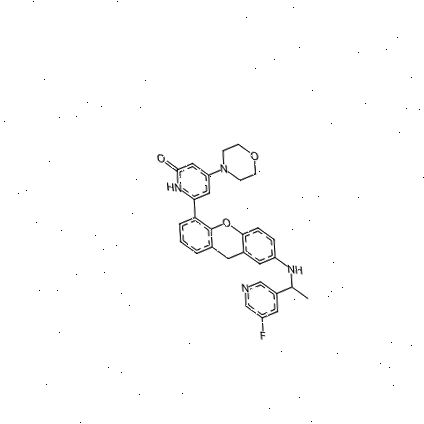 CC(Nc1ccc2c(c1)Cc1cccc(-c3cc(N4CCOCC4)cc(=O)[nH]3)c1O2)c1cncc(F)c1